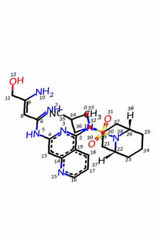 CN(c1nc(NC(=N)/C=C(\N)CO)cc2ncccc12)[C@@H]1C[C@H]2CCC[C@@H](C1)N2S(=O)(=O)N1CC(C#N)C1